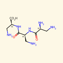 NC[C@H](NC(=O)[C@H](CN)NC(=O)[C@@H](N)CN)C(=O)O